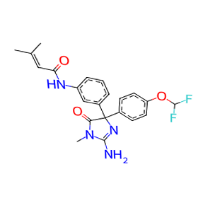 CC(C)=CC(=O)Nc1cccc(C2(c3ccc(OC(F)F)cc3)N=C(N)N(C)C2=O)c1